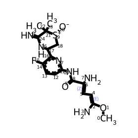 CO/C(N)=C/C=C(\N)C(=O)Nc1ccc(F)c(C2C[S+]([O-])C(C)(C)C(=N)N2)n1